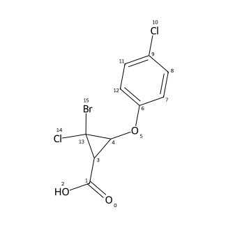 O=C(O)C1C(Oc2ccc(Cl)cc2)C1(Cl)Br